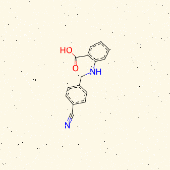 N#Cc1ccc(CNc2ccccc2C(=O)O)cc1